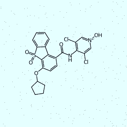 O=C(Nc1c(Cl)c[n+](O)cc1Cl)c1ccc(OC2CCCC2)c2c1-c1ccccc1S2(=O)=O